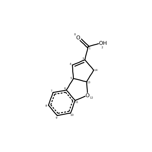 O=C(O)C1=CC2c3ccccc3OC2C1